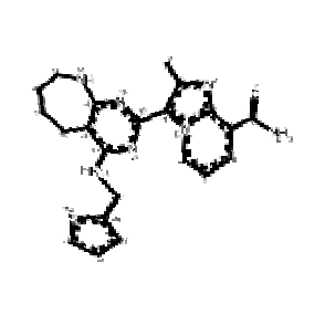 Cc1nc2c(C(N)=O)cccn2c1-c1nc2c(c(NCc3cccs3)n1)CCCCN2